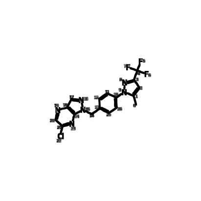 Cc1cc(C(F)(F)F)nn1-c1ccc(Cn2ncc3ncc(Cl)nc32)cc1